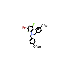 COc1ccc(CN(Cc2ccc(OC)cc2)c2c(F)c(Br)cc(F)c2C=O)cc1